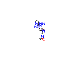 O=C(C1CC1)N1CCC(c2nsc3cc(Nc4n[nH]c5cccnc45)ccc23)CC1